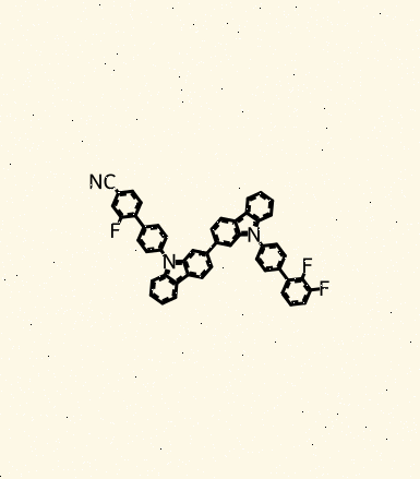 N#Cc1ccc(-c2ccc(-n3c4ccccc4c4ccc(-c5ccc6c7ccccc7n(-c7ccc(-c8cccc(F)c8F)cc7)c6c5)cc43)cc2)c(F)c1